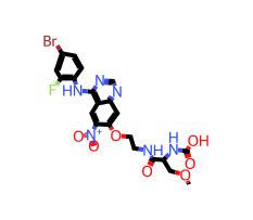 COCC(NC(=O)O)C(=O)NCCOc1cc2ncnc(Nc3ccc(Br)cc3F)c2cc1[N+](=O)[O-]